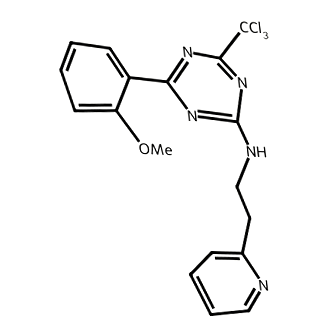 COc1ccccc1-c1nc(NCCc2ccccn2)nc(C(Cl)(Cl)Cl)n1